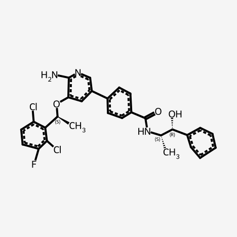 C[C@H](Oc1cc(-c2ccc(C(=O)N[C@@H](C)[C@H](O)c3ccccc3)cc2)cnc1N)c1c(Cl)ccc(F)c1Cl